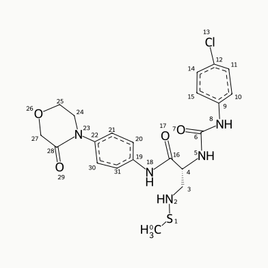 CSNC[C@@H](NC(=O)Nc1ccc(Cl)cc1)C(=O)Nc1ccc(N2CCOCC2=O)cc1